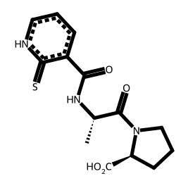 C[C@H](NC(=O)c1ccc[nH]c1=S)C(=O)N1CCC[C@H]1C(=O)O